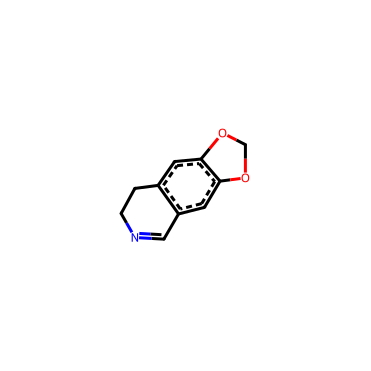 C1=NCCc2cc3c(cc21)OCO3